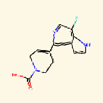 O=C(O)N1CC=C(c2ncc(F)c3[nH]ccc23)CC1